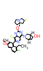 CCc1c(F)ccc2cc(OC)cc(-c3ncc4c(N5C[C@@H]6C[C@H](C5)[C@H](O)C6)nc(OC[C@@]56CCCN5C[C@H](F)C6)nc4c3F)c12